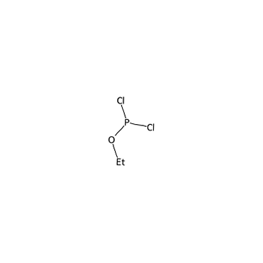 [CH2]COP(Cl)Cl